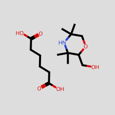 CC1(C)COC(CO)C(C)(C)N1.O=C(O)CCCCC(=O)O